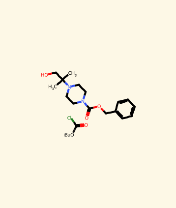 CC(C)(CO)N1CCN(C(=O)OCc2ccccc2)CC1.CC(C)COC(=O)Cl